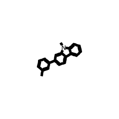 Cc1cccc(-c2ccc3c4ccccc4n(C)c3c2)c1